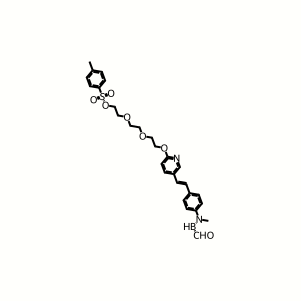 Cc1ccc(S(=O)(=O)OCCOCCOCCOc2ccc(/C=C/c3ccc(N(C)BC=O)cc3)cn2)cc1